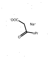 CCCC(=O)CC(=O)[O-].[Na+]